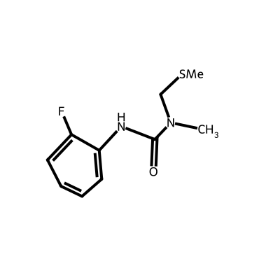 CSCN(C)C(=O)Nc1ccccc1F